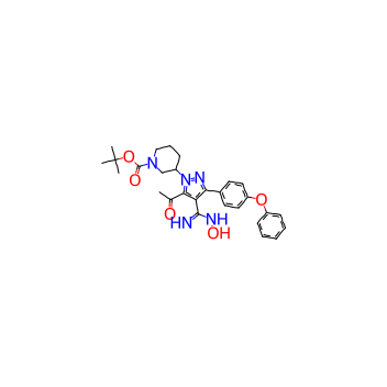 CC(=O)c1c(C(=N)NO)c(-c2ccc(Oc3ccccc3)cc2)nn1C1CCCN(C(=O)OC(C)(C)C)C1